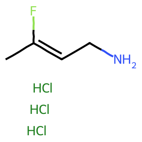 CC(F)=CCN.Cl.Cl.Cl